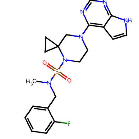 CN(Cc1ccccc1F)S(=O)(=O)N1CCN(c2ncnc3[nH]ccc23)CC12CC2